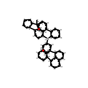 CC1(C)c2ccccc2-c2ccc(N(c3cccc(-c4cccc5cccc(-c6ccccc6)c45)c3)c3ccccc3-c3ccccc3)cc21